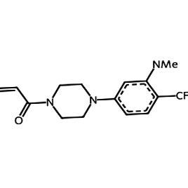 C=CC(=O)N1CCN(c2ccc(C(F)(F)F)c(NC)c2)CC1